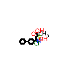 CC(F)(C/C(=N\O)C1(Cl)C=CC(c2ccccc2)C=C1)C(=O)O